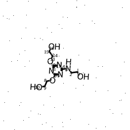 OCCNc1nc(OCCO)nc(OCCO)n1